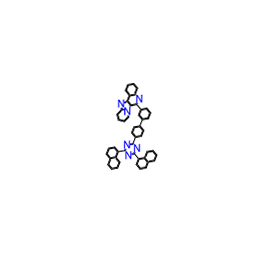 c1cc(-c2ccc(-c3nc(-c4cccc5ccccc45)nc(-c4cccc5ccccc45)n3)cc2)cc(-c2nc3ccccc3c3nc4ccccn4c23)c1